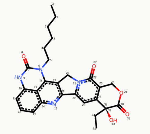 CCCCCCN1C(=O)Nc2cccc3nc4c(c1c23)Cn1c-4cc2c(c1=O)COC(=O)[C@]2(O)CC